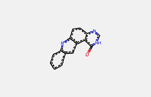 O=c1[nH]cnc2ccc3nc4ccccc4cc3c12